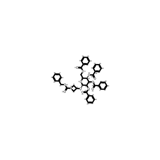 O=C(OCC1O[C@H](OC2CN(C(=O)OCc3ccccc3)C2)C(OC(=O)c2ccccc2)C(OC(=O)c2ccccc2)[C@@H]1OC(=O)c1ccccc1)c1ccccc1